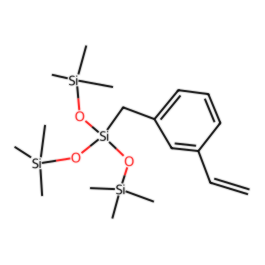 C=Cc1cccc(C[Si](O[Si](C)(C)C)(O[Si](C)(C)C)O[Si](C)(C)C)c1